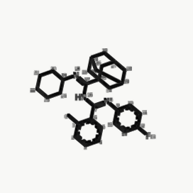 Cc1ccccc1/C(=N\c1ccc(F)cc1)N/C(=N\C1CCCCC1)C12CC3CC(CC(C3)C1)C2